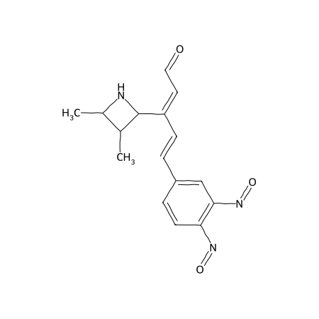 CC1NC(C(=C\C=O)/C=C/c2ccc(N=O)c(N=O)c2)C1C